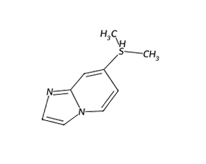 C[SH](C)c1ccn2ccnc2c1